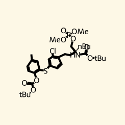 CCCC[C@](CCc1ccc(Sc2cc(C)ccc2OC(=O)OC(C)(C)C)cc1Cl)(COP(=O)(OC)OC)NC(=O)OC(C)(C)C